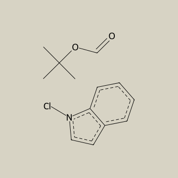 CC(C)(C)OC=O.Cln1ccc2ccccc21